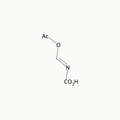 CC(=O)OC=NC(=O)O